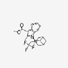 COC(=O)c1c(C)n(C(C)C2C3CC2CN(CC(F)(F)F)C3)c2ccccc12